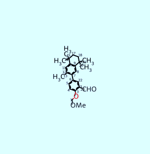 COCOc1ccc(-c2cc3c(cc2C)C(C)(C)CCC3(C)C)cc1C=O